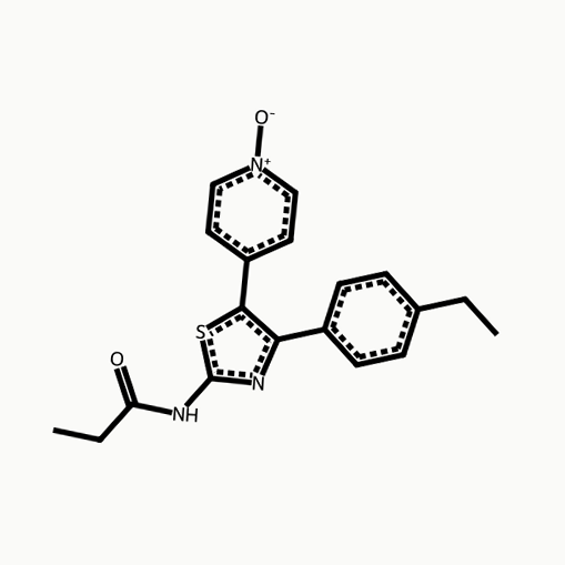 CCC(=O)Nc1nc(-c2ccc(CC)cc2)c(-c2cc[n+]([O-])cc2)s1